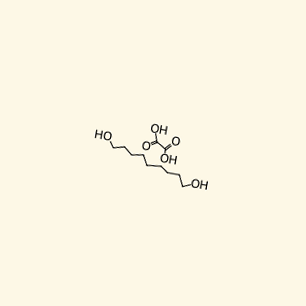 O=C(O)C(=O)O.OCCCCCCCCCO